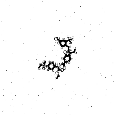 CCOC(=O)[C@H](NC(=O)c1ccc2c(CC)c(Cc3ccc(Cl)cc3C(F)(F)F)oc2c1)c1ccc(S(=O)(=O)CC)cc1